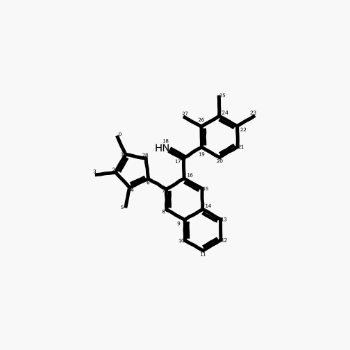 CC1=C(C)C(C)=C(c2cc3ccccc3cc2C(=N)c2ccc(C)c(C)c2C)C1